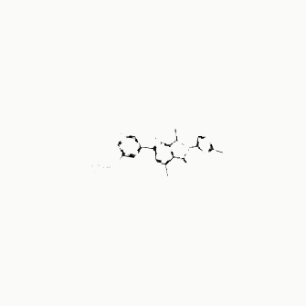 COc1cncc(-c2cc(C)c3c(n2)C(C)N(c2csc(C)n2)C3=O)c1